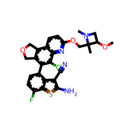 COC1CN(C)C1(C)COc1ccc2c3c(c(-c4ccc(F)c5sc(N)c(C#N)c45)c(Cl)c2n1)COC3